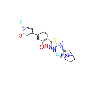 CN(c1nnc(-c2ccc(-c3ccn(CF)c(=O)c3)cc2O)s1)[C@H]1CC2CCC(N2)[C@H]1F